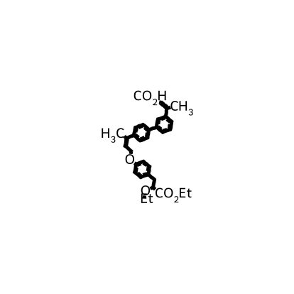 CCOC(=O)C(Cc1ccc(OCC=C(C)c2ccc(-c3cccc(C(C)=CC(=O)O)c3)cc2)cc1)OCC